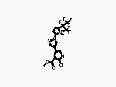 COC(=O)c1cc(-c2cnn(-c3ccc(C(F)(C(F)(F)F)C(F)(F)F)n3C)c2)cnc1Cl